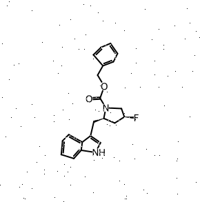 O=C(OCc1ccccc1)N1C[C@@H](F)C[C@H]1Cc1c[nH]c2ccccc12